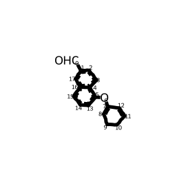 O=Cc1ccc2c(OC3=CCCC=C3)cccc2c1